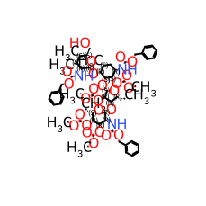 CC[C@@H]1O[C@H](O[C@H]2[C@@H](OC(=O)OC)[C@H](O[C@@H]3[C@@H](OC(=O)OC)[C@H](NC(=O)OCc4ccccc4)C[C@H](C)[C@H]3O[C@H]3O[C@H](CO)[C@@H](C)[C@H](C)[C@H]3NC(=O)OCc3ccccc3)O[C@@H]2CC)[C@H](NC(=O)OCc2ccccc2)[C@@H](OC(=O)OC)[C@@H]1OC(=O)OC